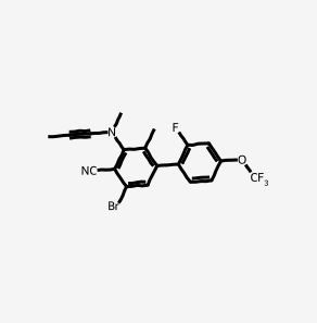 CC#CN(C)c1c(C)c(-c2ccc(OC(F)(F)F)cc2F)cc(Br)c1C#N